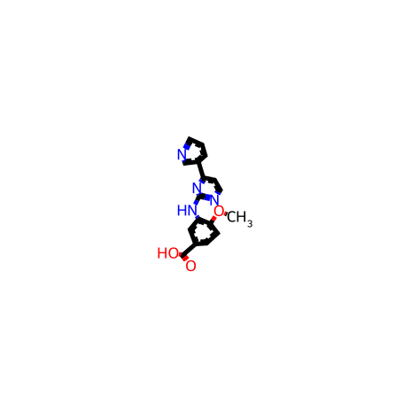 COc1ccc(C(=O)O)cc1Nc1nccc(-c2cccnc2)n1